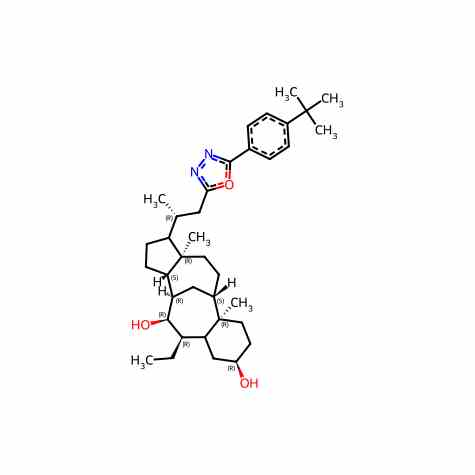 CC[C@@H]1C2C[C@H](O)CC[C@]2(C)[C@H]2CC[C@]3(C)C([C@H](C)Cc4nnc(-c5ccc(C(C)(C)C)cc5)o4)CC[C@H]3[C@@H](C2)[C@@H]1O